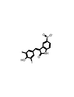 O=C1Nc2ccc([N+](=O)[O-])cc2C1=Cc1cc(I)c(O)c(I)c1